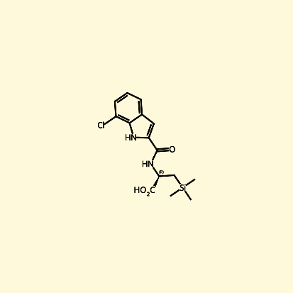 C[Si](C)(C)C[C@H](NC(=O)c1cc2cccc(Cl)c2[nH]1)C(=O)O